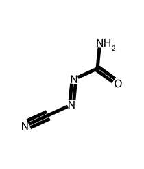 N#CN=NC(N)=O